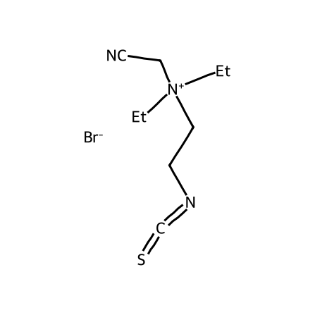 CC[N+](CC)(CC#N)CCN=C=S.[Br-]